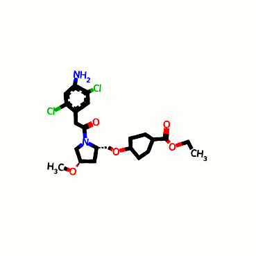 CCOC(=O)C1CCC(OC[C@@H]2C[C@H](OC)CN2C(=O)Cc2cc(Cl)c(N)cc2Cl)CC1